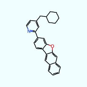 c1ccc2cc3c(cc2c1)oc1cc(-c2cc(CC4CCCCC4)ccn2)ccc13